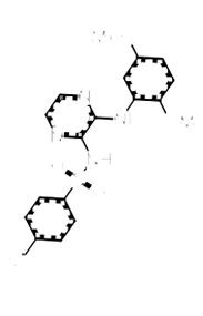 COc1ccc(OC)c(Nc2nccnc2NS(=O)(=O)c2ccc(Cl)cc2)c1